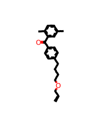 C=CCOCCCCc1ccc(C(=O)c2cc(C)ccc2C)cc1